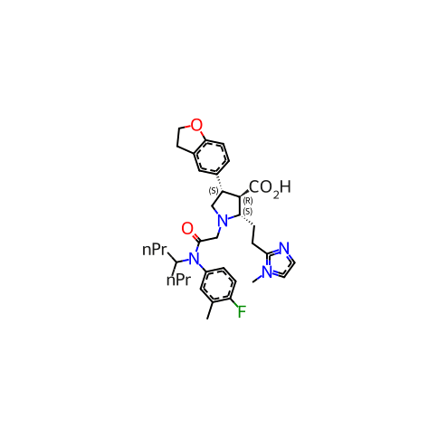 CCCC(CCC)N(C(=O)CN1C[C@H](c2ccc3c(c2)CCO3)[C@@H](C(=O)O)[C@@H]1CCc1nccn1C)c1ccc(F)c(C)c1